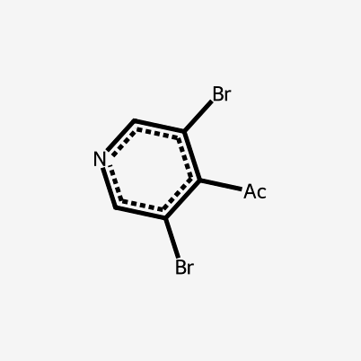 CC(=O)c1c(Br)cncc1Br